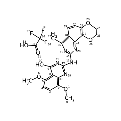 COc1ccc(OC)c2c(O)nc(Nc3nc(C)c4ccc5c(c4n3)OCCO5)nc12.O=C(O)C(F)(F)F